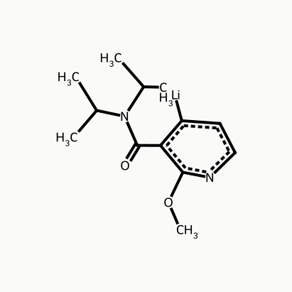 [Li][c]1ccnc(OC)c1C(=O)N(C(C)C)C(C)C